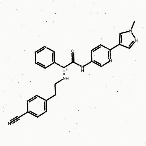 Cn1cc(-c2ccc(NC(=O)[C@H](NCCc3ccc(C#N)cc3)c3ccccc3)cn2)cn1